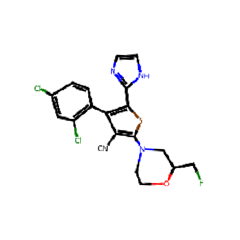 [C-]#[N+]c1c(N2CCOC(CF)C2)sc(-c2ncc[nH]2)c1-c1ccc(Cl)cc1Cl